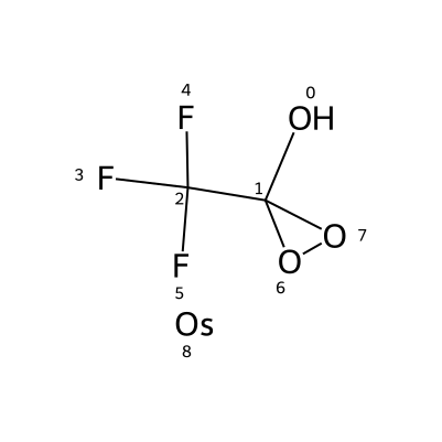 OC1(C(F)(F)F)OO1.[Os]